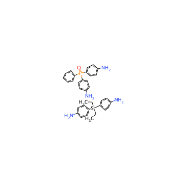 CC[Si](CC)(c1ccc(N)cc1)c1ccc(N)cc1.Nc1ccc(P(=O)(c2ccccc2)c2ccc(N)cc2)cc1